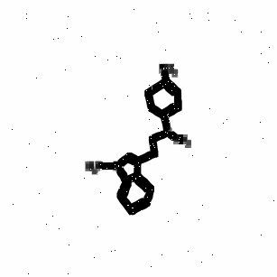 NC1=CC=C(N(P)CCc2cn(P)c3ccccc23)CC1